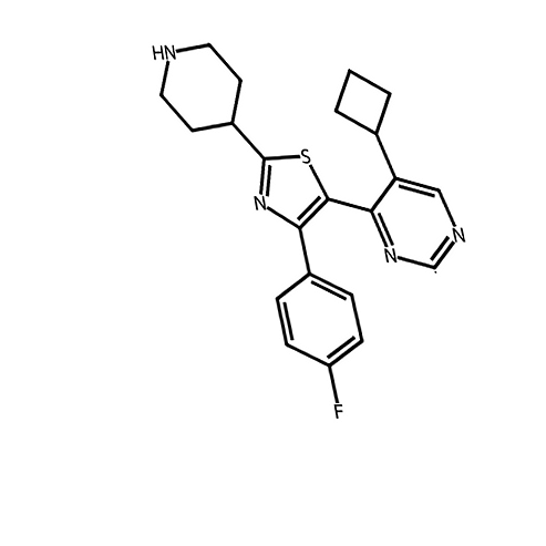 Fc1ccc(-c2nc(C3CCNCC3)sc2-c2n[c]ncc2C2CCC2)cc1